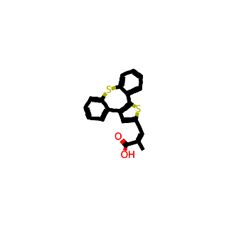 CC(=Cc1cc2c(s1)-c1ccccc1Sc1ccccc1-2)C(=O)O